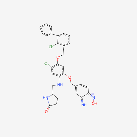 N=C1C=C(COc2cc(OCc3cccc(-c4ccccc4)c3Cl)c(Cl)cc2NCC2CCC(=O)N2)C=C/C1=N/O